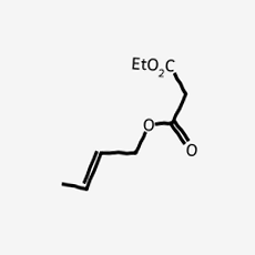 CC=CCOC(=O)CC(=O)OCC